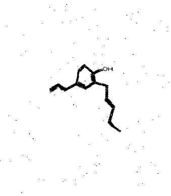 C=CCc1ccc(O)c(CCCCC)c1